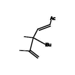 C=C(C)C(C)(C=CC(C)=O)C(C)CC